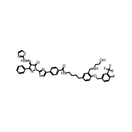 O=C(NCCCCc1ccc(OCc2ccc(F)c(C(F)(F)F)c2)c(CNCCO)c1)c1ccc(-c2csc(N3N=C(c4ccccc4)/C(=N\Nc4nccs4)C3=O)n2)cc1